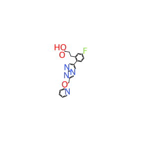 O=C(O)CCc1cc(F)ccc1-c1cnc2nc(COc3ccccn3)cn2c1